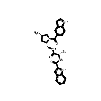 C[C@H]1C[C@@H](CNC(=O)[C@@H](NC(=O)c2cc3ccccc3[nH]2)C(C)(C)C)N(C(=O)c2ccc3[nH]ccc3c2)C1